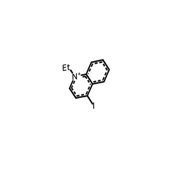 CC[n+]1ccc(I)c2ccccc21